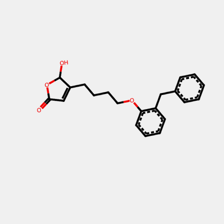 O=C1C=C(CCCCOc2ccccc2Cc2ccccc2)C(O)O1